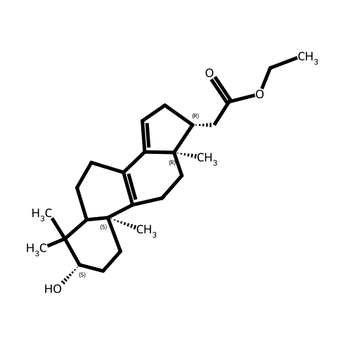 CCOC(=O)C[C@H]1CC=C2C3=C(CC[C@@]21C)[C@@]1(C)CC[C@H](O)C(C)(C)C1CC3